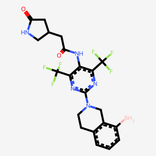 Bc1cccc2c1CN(c1nc(C(F)(F)F)c(NC(=O)CC3CNC(=O)C3)c(C(F)(F)F)n1)CC2